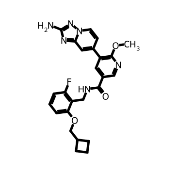 COc1ncc(C(=O)NCc2c(F)cccc2OCC2CCC2)cc1-c1ccn2nc(N)nc2c1